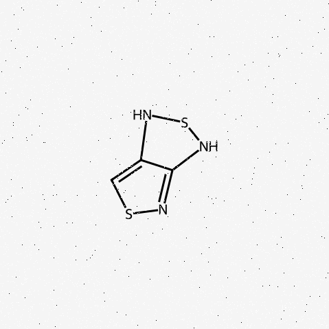 c1snc2c1NSN2